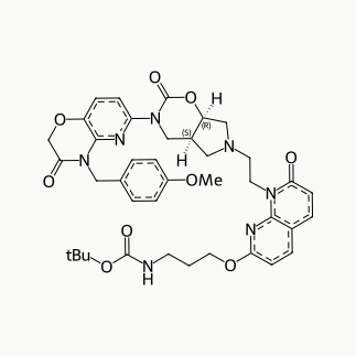 COc1ccc(CN2C(=O)COc3ccc(N4C[C@@H]5CN(CCn6c(=O)ccc7ccc(OCCCNC(=O)OC(C)(C)C)nc76)C[C@@H]5OC4=O)nc32)cc1